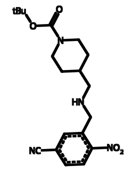 CC(C)(C)OC(=O)N1CCC(CNCc2cc(C#N)ccc2[N+](=O)[O-])CC1